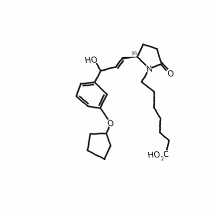 O=C(O)CCCCCCN1C(=O)CC[C@@H]1C=CC(O)c1cccc(OC2CCCC2)c1